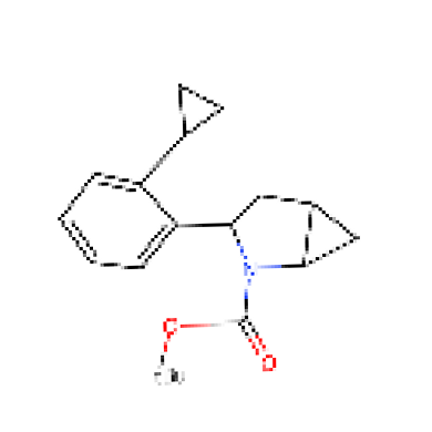 CC(C)(C)OC(=O)N1C(c2ccccc2C2CC2)CC2CC21